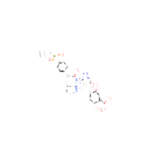 CS(=O)(=O)c1ccc([C@@H](CC2CCCC2)C(=O)NC2=NCC(Oc3cccc(C(=O)O)c3)S2)cc1